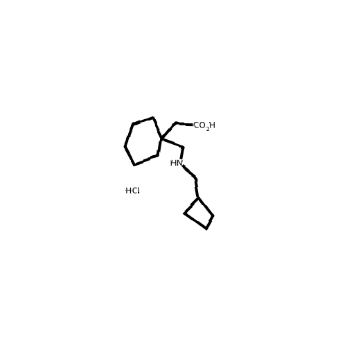 Cl.O=C(O)CC1(CNCC2CCC2)CCCCC1